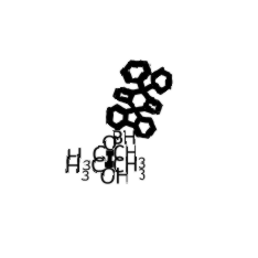 CC(C)(O)C(C)(C)OBc1cccc2c1-c1ccccc1C21c2ccccc2C(c2ccccc2)(c2ccccc2)c2ccccc21